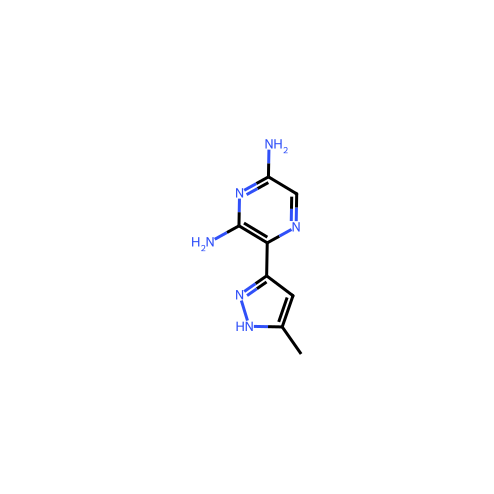 Cc1cc(-c2ncc(N)nc2N)n[nH]1